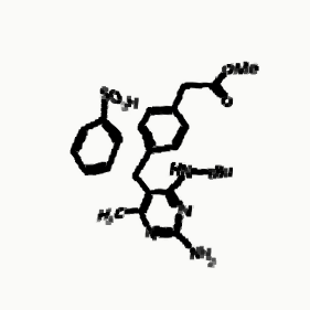 CCCCNc1nc(N)nc(C)c1Cc1ccc(CC(=O)OC)cc1.O=S(=O)(O)c1ccccc1